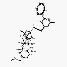 C=C(Br)C[C@@H](CC[C@@]12C[C@H]3O[C@H]4C(O1)[C@H]1O[C@@H](CC=O)CC[C@@H]1O[C@H]4[C@H]3O2)OC(=O)c1ccccc1